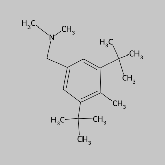 Cc1c(C(C)(C)C)cc(CN(C)C)cc1C(C)(C)C